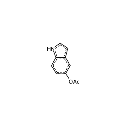 CC(=O)Oc1ccc2[nH]ccc2c1